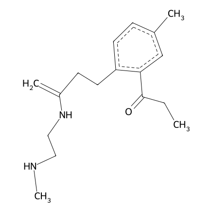 C=C(CCc1ccc(C)cc1C(=O)CC)NCCNC